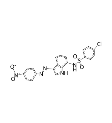 O=[N+]([O-])c1ccc(N=Nc2c[nH]c3c(NS(=O)(=O)c4ccc(Cl)cc4)cccc23)cc1